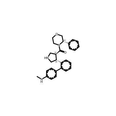 CNc1ccc(-c2ccccc2[C@@H]2CNC[C@H]2C(=O)N2CCOC[C@@H]2c2ccccc2)cc1